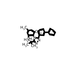 Cc1cc(C)c(-n2c(-c3cccc(-c4ccccc4)c3)nnc2C(C)(C)C)c(C)c1